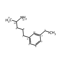 CCc1cccc(CCCC(C)N)c1